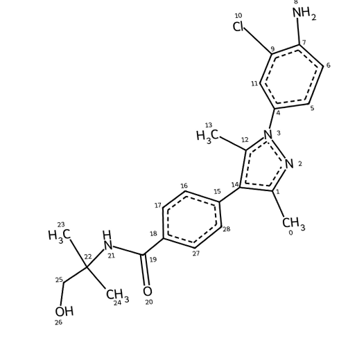 Cc1nn(-c2ccc(N)c(Cl)c2)c(C)c1-c1ccc(C(=O)NC(C)(C)CO)cc1